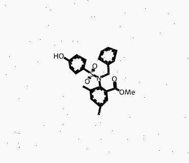 COC(=O)c1cc(C)cc(C)c1N(Cc1ccccc1)S(=O)(=O)c1ccc(O)cc1